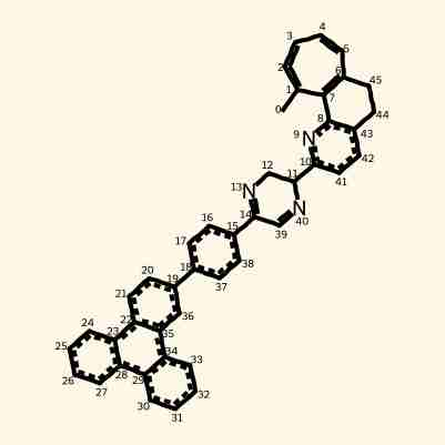 CC1=C=CC=CC2=C1c1nc(C3CN=C(c4ccc(-c5ccc6c7ccccc7c7ccccc7c6c5)cc4)C=N3)ccc1CC2